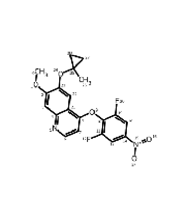 COc1cc2nccc(Oc3c(F)cc([N+](=O)[O-])cc3F)c2cc1OC1(C)CC1